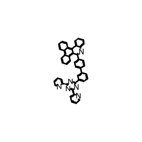 c1ccc(-c2nc(-c3cccc(-c4ccc(-c5nc6ccccc6c6c7ccccc7c7ccccc7c56)cc4)c3)nc(-c3ccccn3)n2)nc1